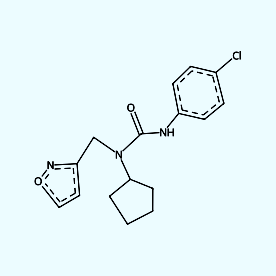 O=C(Nc1ccc(Cl)cc1)N(Cc1ccon1)C1CCCC1